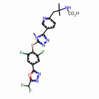 Cn1c(Sc2c(F)cc(-c3nnc(C(F)F)o3)cc2F)nnc1-c1ccc(CC(C)(C)NC(=O)O)nc1